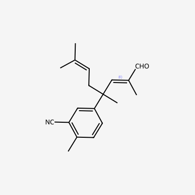 CC(C)=CCC(C)(/C=C(\C)C=O)c1ccc(C)c(C#N)c1